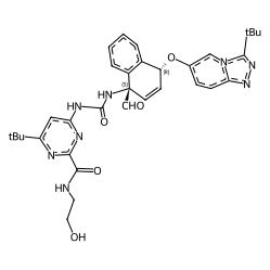 CC(C)(C)c1cc(NC(=O)N[C@@]2(C=O)C=C[C@@H](Oc3ccc4nnc(C(C)(C)C)n4c3)c3ccccc32)nc(C(=O)NCCO)n1